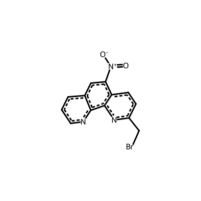 O=[N+]([O-])c1cc2cccnc2c2nc(CBr)ccc12